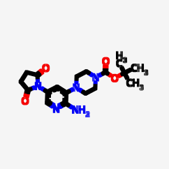 CC(C)(C)OC(=O)N1CCN(c2cc(N3C(=O)CCC3=O)cnc2N)CC1